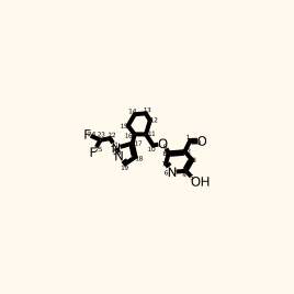 O=Cc1cc(O)ncc1OCC1CCCCC1c1ccnn1CC(F)F